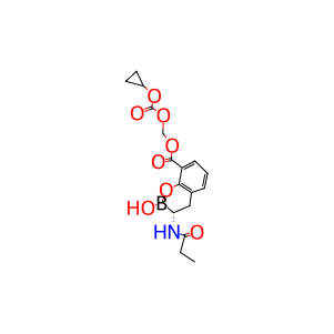 CCC(=O)N[C@H]1Cc2cccc(C(=O)OCOC(=O)OC3CC3)c2OB1O